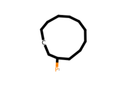 [P]C1CCCCCCCCCCC1